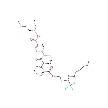 CCCCCCOC(CCOC(=O)c1ccccc1C1C=CC=C(c2ccc(C(=O)OC(CCC)CCCC)cc2)C1=O)C(F)(F)F